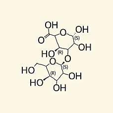 O=C(O)C1O[C@H](O)C(O)C(O[C@@H]2OC(CO)[C@H](O)C(O)C2O)[C@H]1O